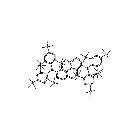 C[Si](C)(C)c1cc([Si](C)(C)C)c(B(c2c([Si](C)(C)C)cc([Si](C)(C)C)cc2[Si](C)(C)C)c2ccc3ccc4c(B(c5c([Si](C)(C)C)cc([Si](C)(C)C)cc5[Si](C)(C)C)c5c([Si](C)(C)C)cc([Si](C)(C)C)cc5[Si](C)(C)C)ccc5ccc2c3c54)c([Si](C)(C)C)c1